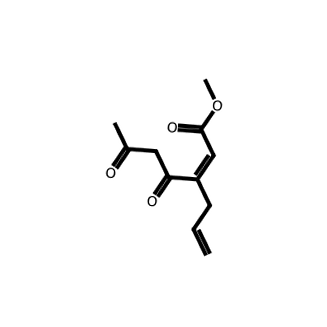 C=CCC(=CC(=O)OC)C(=O)CC(C)=O